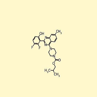 Cc1ccc2c(N3CCN(C(=O)OCC(C)C)CC3)nc(-c3c(O)ccc(F)c3F)nc2c1